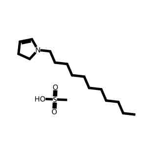 CCCCCCCCCCCN1C=CCC1.CS(=O)(=O)O